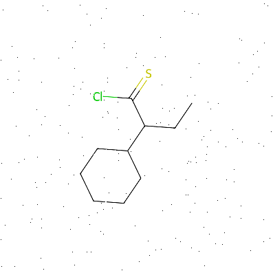 CCC(C(=S)Cl)C1CCCCC1